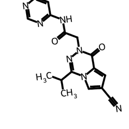 CC(C)c1nn(CC(=O)Nc2ccncn2)c(=O)c2cc(C#N)cn12